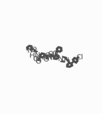 O=C(NS(=O)(=O)c1ccc(NCCOc2ccccn2)c([N+](=O)[O-])c1)c1ccc(N2CCN(Cc3ccccc3-c3ccc(Cl)cc3)CC2)cc1Oc1ccccc1